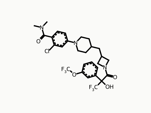 CN(C)C(=O)c1ccc(N2CCC(CC3CN(C(=O)C(O)(c4cccc(OC(F)(F)F)c4)C(F)(F)F)C3)CC2)cc1Cl